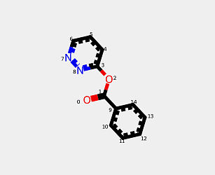 O=C(Oc1cccnn1)c1ccccc1